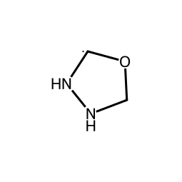 [CH]1NNCO1